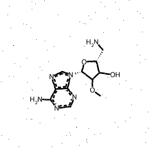 COC1C(O)[C@@H](CN)O[C@H]1n1cnc2c(N)ncnc21